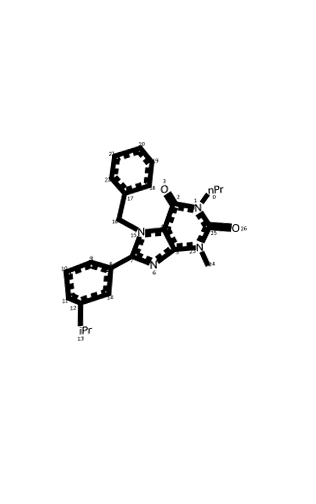 CCCn1c(=O)c2c(nc(-c3cccc(C(C)C)c3)n2Cc2ccccc2)n(C)c1=O